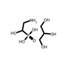 NCC(O)P(=O)(O)O.OCC(O)CO